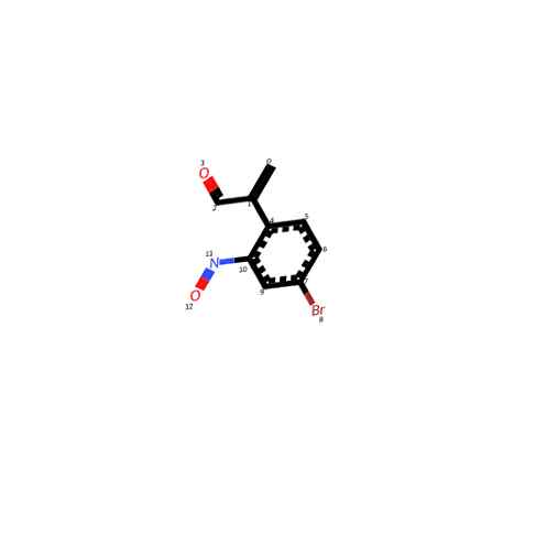 C=C(C=O)c1ccc(Br)cc1N=O